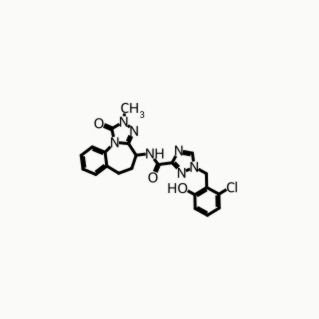 Cn1nc2n(c1=O)-c1ccccc1CCC2NC(=O)c1ncn(Cc2c(O)cccc2Cl)n1